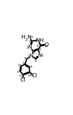 Nc1nc2c(ncn2Cc2ccc(Cl)c(Cl)c2)c(=O)[nH]1